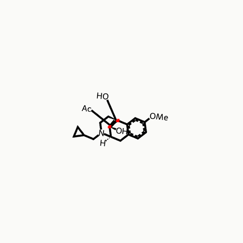 COc1ccc2c(c1)[C@]13CCN(CC4CC4)[C@H](C2)[C@]1(O)CC(C(C)=O)=C(O)C3